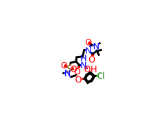 CN1C(=O)N(CCCC(CS(=O)(=O)N(C)CCOc2ccc(Cl)cc2)C(=O)NO)C(=O)C1(C)C